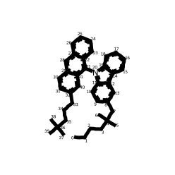 CCCCC(C)(C)Cc1ccc2c(c1)c1ccccc1n2-c1c2ccccc2cc2ccc(CCCC(C)(C)C)cc12